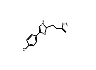 C=C(N)CCC1NC=C(c2ccc(Cl)cc2)S1